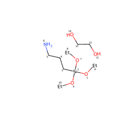 CCO[Si](CCCN)(OCC)OCC.OCCO